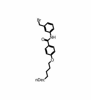 CCCCCCCCCCCCCCOc1ccc(C(=O)Nc2cccc(CBr)c2)cc1